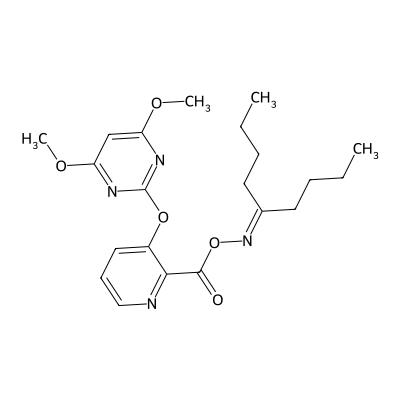 CCCCC(CCCC)=NOC(=O)c1ncccc1Oc1nc(OC)cc(OC)n1